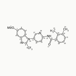 COc1ccc2c(c1)nc(C(F)(F)F)n2-c1ccc(NC(=O)c2cccc(C)c2C)nc1